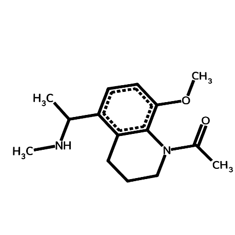 CNC(C)c1ccc(OC)c2c1CCCN2C(C)=O